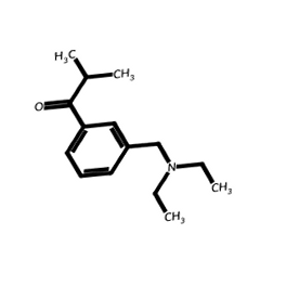 CCN(CC)Cc1cccc(C(=O)C(C)C)c1